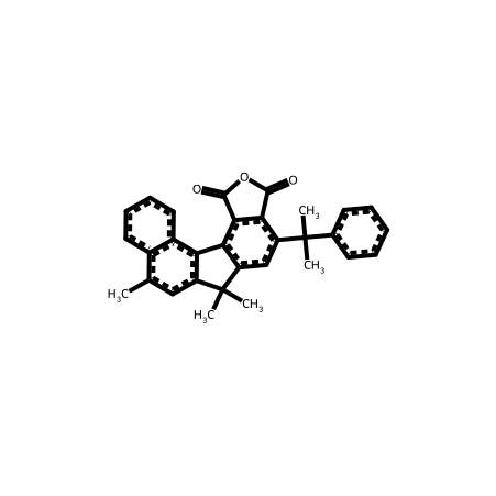 Cc1cc2c(c3ccccc13)-c1c(cc(C(C)(C)c3ccccc3)c3c1C(=O)OC3=O)C2(C)C